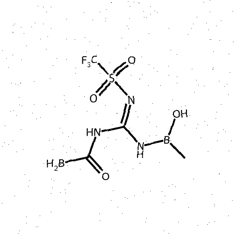 BC(=O)NC(=NS(=O)(=O)C(F)(F)F)NB(C)O